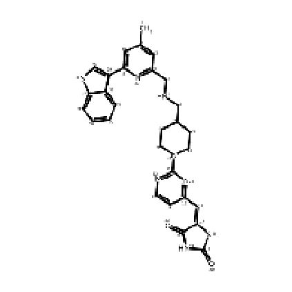 Cc1cc(CNCC2CCN(c3nccc(C=C4SC(=O)NC4=O)n3)CC2)nc(-c2csc3ccccc23)c1